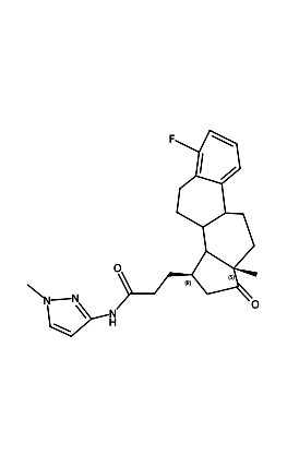 Cn1ccc(NC(=O)CC[C@@H]2CC(=O)[C@@]3(C)CCC4c5cccc(F)c5CCC4C23)n1